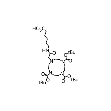 CC(C)(C)OC(=O)N1CCN(CC(=O)NCCCCCC(=O)O)CCN(C(=O)OC(C)(C)C)CCN(C(=O)OC(C)(C)C)CC1